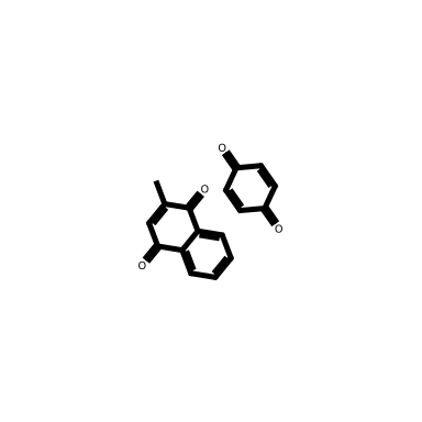 CC1=CC(=O)c2ccccc2C1=O.O=C1C=CC(=O)C=C1